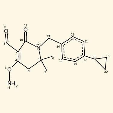 CC1(C)CC(ON)=C(C=O)C(=O)N1Cc1ccc(C2CC2)cc1